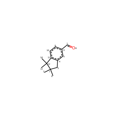 CC1(C)Cc2cc(C=O)ccc2C1(C)C